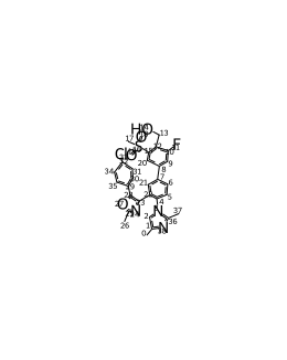 Cc1cn(-c2ccc(-c3cc(F)c(CO)c(S(C)(=O)=O)c3)cc2-c2nc(C)oc2-c2ccc(Cl)cc2)c(C)n1